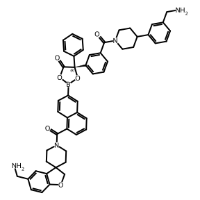 NCc1cccc(C2CCN(C(=O)c3cccc([C@@]4(c5ccccc5)OB(c5ccc6c(C(=O)N7CCC8(CC7)COc7ccc(CN)cc78)cccc6c5)OC4=O)c3)CC2)c1